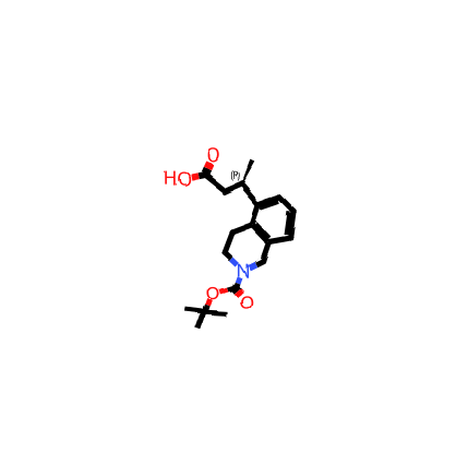 C[C@H](CC(=O)O)c1cccc2c1CCN(C(=O)OC(C)(C)C)C2